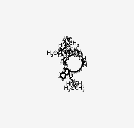 C=C[C@@H]1C[C@]1(NC(=O)[C@@H]1C[C@@H]2CN1C(=O)[C@H](C(C)(C)C)NC(=O)O[C@@H]1C[C@H]1CCCCCc1c(nc3ccccc3c1OCCNC(C)(C)C)O2)C(=O)NS(=O)(=O)C1(C)CC1